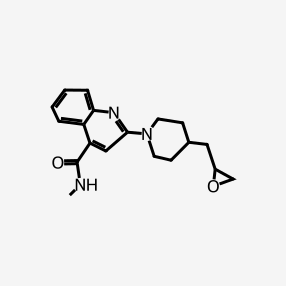 CNC(=O)c1cc(N2CCC(CC3CO3)CC2)nc2ccccc12